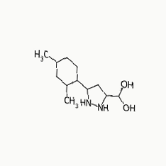 CC1CCC(C2CC(C(O)O)NN2)C(C)C1